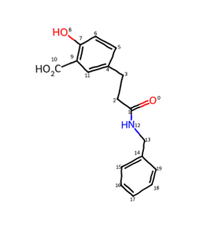 O=C(CCc1ccc(O)c(C(=O)O)c1)NCc1ccccc1